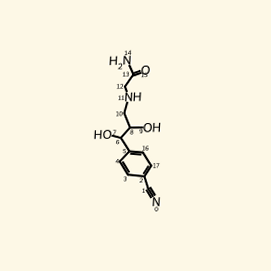 N#Cc1ccc(C(O)C(O)CNCC(N)=O)cc1